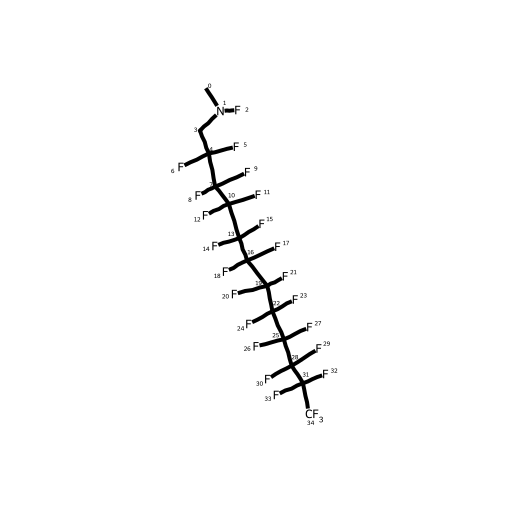 CN(F)CC(F)(F)C(F)(F)C(F)(F)C(F)(F)C(F)(F)C(F)(F)C(F)(F)C(F)(F)C(F)(F)C(F)(F)C(F)(F)F